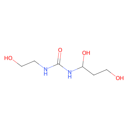 O=C(NCCO)NC(O)CCO